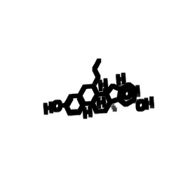 CCC[C@@H]1Cc2cc(O)ccc2[C@H]2CC[C@@]3(C)[C@@H](C[C@H]4CC[C@H](O)C[C@@]43O)[C@H]12